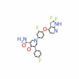 NC(=O)c1cn(-c2ccc(Oc3ccnc4c3CC(F)(F)N4)c(F)c2)cc(-c2ccc(F)cc2)c1=O